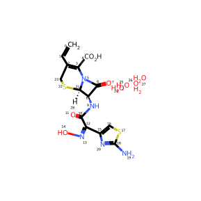 C=CC1=C(C(=O)O)N2C(=O)[C@@H](NC(=O)/C(=N\O)c3csc(N)n3)[C@H]2SC1.O.O.O.O